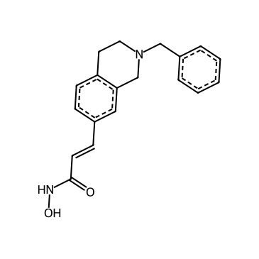 O=C(C=Cc1ccc2c(c1)CN(Cc1ccccc1)CC2)NO